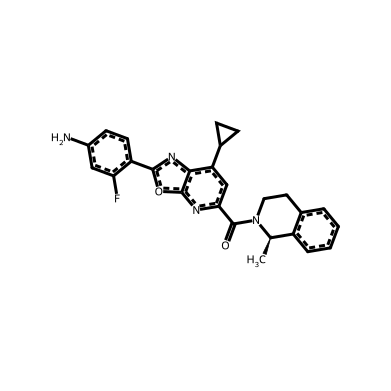 C[C@@H]1c2ccccc2CCN1C(=O)c1cc(C2CC2)c2nc(-c3ccc(N)cc3F)oc2n1